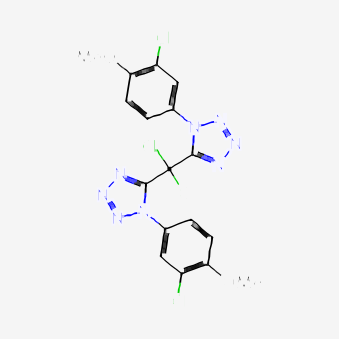 COc1ccc(-n2nnnc2C(Cl)(Cl)c2nnnn2-c2ccc(OC)c(Cl)c2)cc1Cl